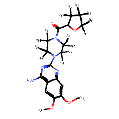 [2H]C1([2H])OC(C(=O)N2C([2H])([2H])C([2H])([2H])N(c3nc(N)c4cc(OC)c(OC)cc4n3)C([2H])([2H])C2([2H])[2H])C([2H])([2H])C1([2H])[2H]